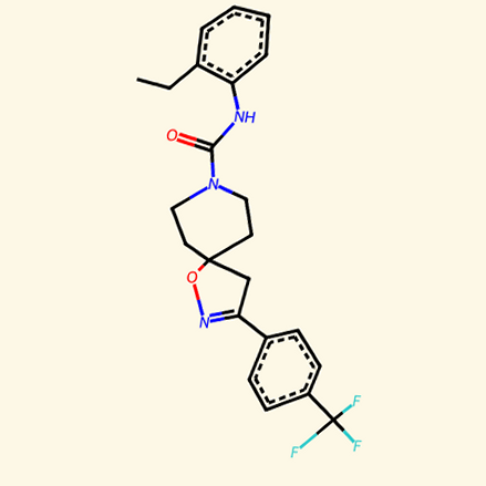 CCc1ccccc1NC(=O)N1CCC2(CC1)CC(c1ccc(C(F)(F)F)cc1)=NO2